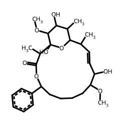 COC1CCCCC(c2ccccc2)OC(=O)C(C)C2(O)OC(C(C)/C=C/C1O)C(C)C(O)C2OC